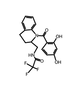 O=C(c1ccc(O)cc1O)N1c2ccccc2CCC1CNC(=O)C(F)(F)F